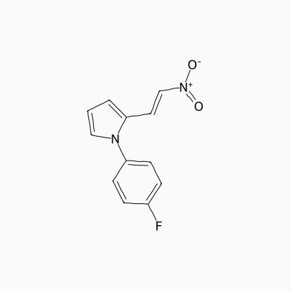 O=[N+]([O-])/C=C/c1cccn1-c1ccc(F)cc1